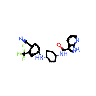 N#Cc1ccc(N[C@H]2CC[C@@H](NC(=O)c3c[nH]c4ncccc34)CC2)cc1C(F)(F)F